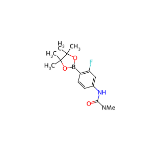 CNC(=O)Nc1ccc(B2OC(C)(C)C(C)(C)O2)c(F)c1